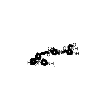 CN(C(=O)CCCc1ccc(-c2ccccc2)c(N(C(=O)O)[C@H]2CC[C@H](N)CC2)c1)c1ccc(CNCC(O)c2ccc(O)c3[nH]c(=O)ccc23)cc1